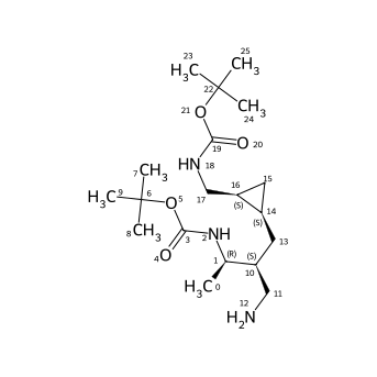 C[C@@H](NC(=O)OC(C)(C)C)[C@H](CN)C[C@@H]1C[C@@H]1CNC(=O)OC(C)(C)C